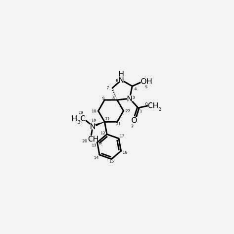 CC(=O)N1C(O)NC[C@]12CC[C@](c1ccccc1)(N(C)C)CC2